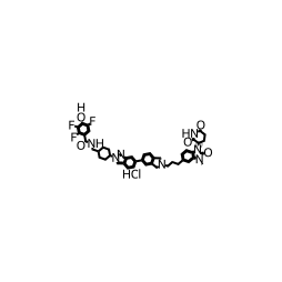 Cl.Cn1c(=O)n([C@@H]2CCC(=O)NC2=O)c2ccc(CCCN3Cc4ccc(-c5ccc6cn(C7CCC(CNC(=O)c8cc(F)c(O)c(F)c8F)CC7)nc6c5)cc4C3)cc21